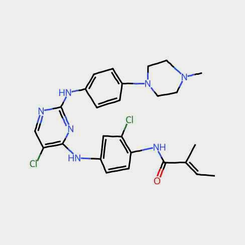 C/C=C(\C)C(=O)Nc1ccc(Nc2nc(Nc3ccc(N4CCN(C)CC4)cc3)ncc2Cl)cc1Cl